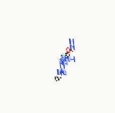 Fc1cc(O[C@H]2CCCNC2)ccc1Nc1ncnc(N2CCN(c3ncc(Cc4ccccc4)cn3)CC2)n1